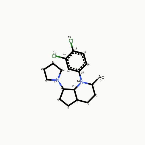 CC(=O)C1CCC2CCC(N3CCCC3)C2N1c1ccc(Cl)c(Cl)c1